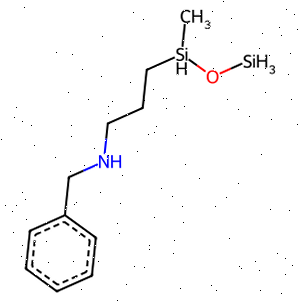 C[SiH](CCCNCc1ccccc1)O[SiH3]